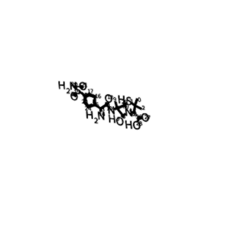 CC1(C)S[C@H]2N(C(=O)C2(C)NC(=O)C(N)c2ccc(S(N)(=O)=O)cc2)[C@H]1C(=O)O